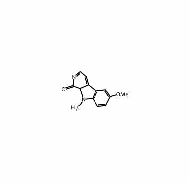 COc1ccc2c(c1)C1=CC=NC(=O)C1N2C